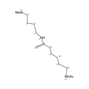 CNCCCCNC(=O)CCCCCNC(C)=O